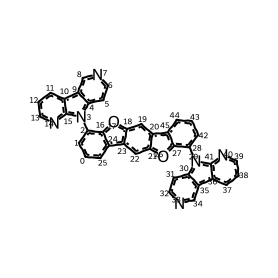 c1cc(-n2c3ccncc3c3cccnc32)c2oc3cc4c(cc3c2c1)oc1c(-n2c3ccncc3c3cccnc32)cccc14